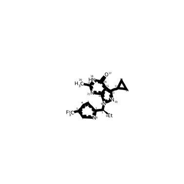 CC[C@@H](c1ccc(C(F)(F)F)cn1)n1nc(C2CC2)c2c(=O)[nH]c(C)nc21